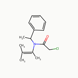 CC(C)=C(C)N(C(=O)CCl)C(C)c1ccccc1